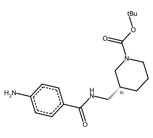 CC(C)(C)OC(=O)N1CCC[C@H](CNC(=O)c2ccc(N)cc2)C1